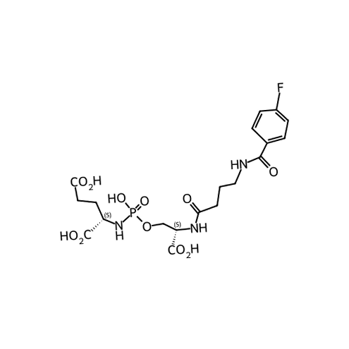 O=C(O)CC[C@H](NP(=O)(O)OC[C@H](NC(=O)CCCNC(=O)c1ccc(F)cc1)C(=O)O)C(=O)O